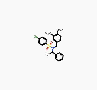 COc1ccc(CN(C(C)c2ccccc2)S(=O)(=O)c2ccc(Cl)cc2)cc1OC